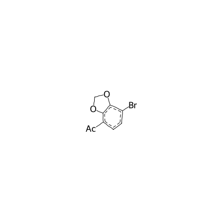 CC(=O)c1ccc(Br)c2c1OCO2